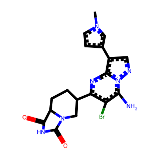 Cn1ccc(-c2cnn3c(N)c(Br)c(C4CCC5C(=O)NC(=O)N5C4)nc23)c1